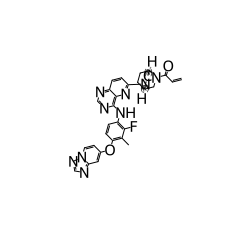 C=CC(=O)N1C[C@H]2CC[C@@H]1CN2c1ccc2ncnc(Nc3ccc(Oc4ccn5ncnc5c4)c(C)c3F)c2n1